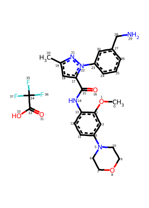 COc1cc(N2CCOCC2)ccc1NC(=O)c1cc(C)nn1-c1cccc(CN)c1.O=C(O)C(F)(F)F